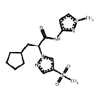 Cn1ccc(NC(=O)[C@H](CC2CCCC2)n2cc(S(C)(=O)=O)cn2)n1